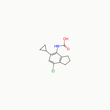 O=C(O)Nc1c(C2CC2)cc(Cl)c2c1CCC2